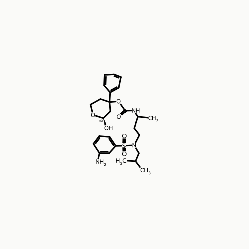 CC(C)CN(CCC(C)NC(=O)OC1(c2ccccc2)CCO[C@H](O)C1)S(=O)(=O)c1cccc(N)c1